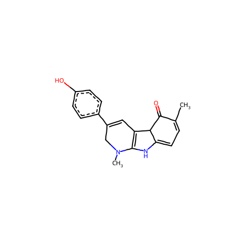 CC1=CC=C2NC3=C(C=C(c4ccc(O)cc4)CN3C)C2C1=O